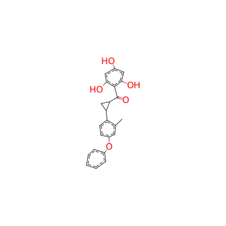 Cc1cc(Oc2ccccc2)ccc1C1CC1C(=O)c1c(O)cc(O)cc1O